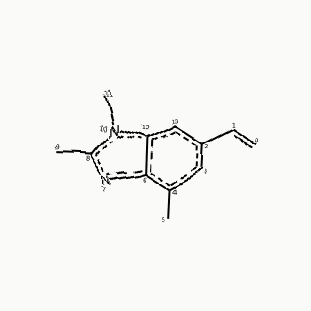 C=Cc1cc(C)c2nc(C)n(C)c2c1